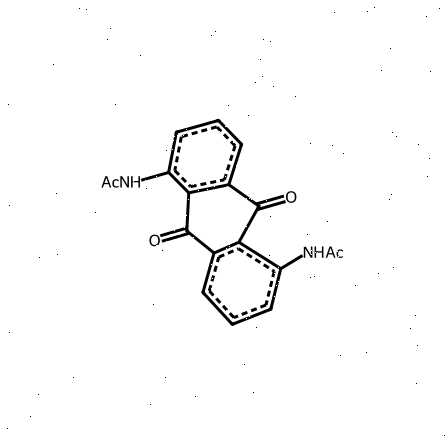 CC(=O)Nc1cccc2c1C(=O)c1cccc(NC(C)=O)c1C2=O